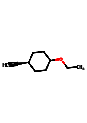 C#C[C@H]1CC[C@@H](OCC)CC1